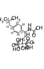 CC(=O)NC(CCC(O)(P(=O)(O)O)P(=O)(O)O)c1ccc(CC(C)C)cc1